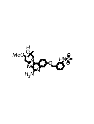 COCCc1nc2c(N)nc3cc(OCc4cccc(NS(C)(=O)=O)c4)ccc3c2n1CC(C)(C)O